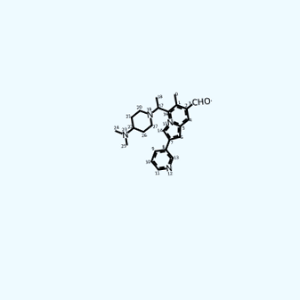 Cc1c([C]=O)cc2cc(-c3cccnc3)cn2c1C(C)N1CCC(N(C)C)CC1